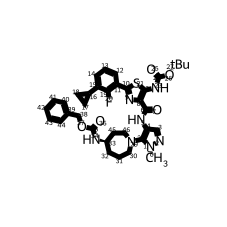 Cn1ncc(NC(=O)c2nc(-c3cccc(C4CC4)c3F)sc2NC(=O)OC(C)(C)C)c1N1CCC[C@@H](NC(=O)OCc2ccccc2)CC1